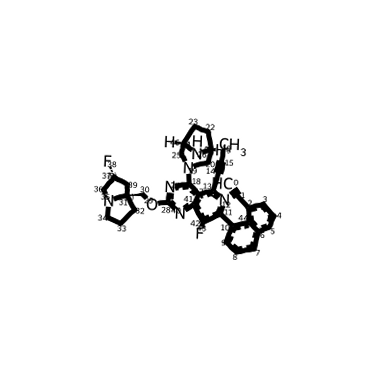 C#Cc1cccc2cccc(-c3nc(C#CC)c4c(N5C[C@H]6CC[C@@H](C5)N6)nc(OC[C@@]56CCCN5C[C@H](F)C6)nc4c3F)c12